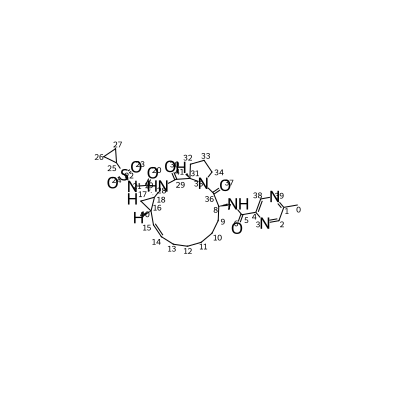 Cc1cnc(C(=O)N[C@H]2CCCCC/C=C\[C@@H]3C[C@@]3(C(=O)NS(=O)(=O)C3CC3)NC(=O)[C@@H]3CCCN3C2=O)cn1